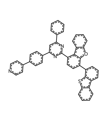 c1ccc(-c2cc(-c3ccc(-c4ccncc4)cc3)nc(-c3ccc(-c4cccc5c4sc4ccccc45)c4oc5ccccc5c34)n2)cc1